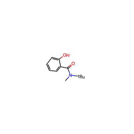 CN(C(=O)c1ccccc1O)C(C)(C)C